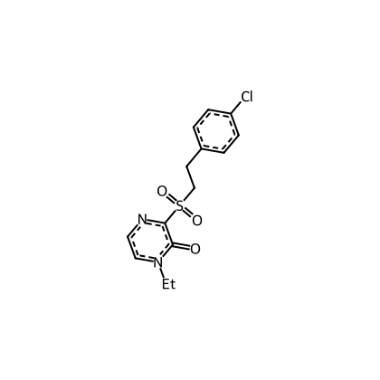 CCn1ccnc(S(=O)(=O)CCc2ccc(Cl)cc2)c1=O